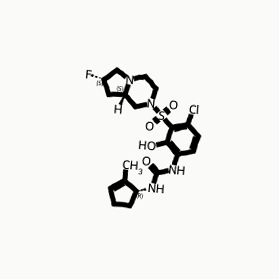 CC1=CCC[C@H]1NC(=O)Nc1ccc(Cl)c(S(=O)(=O)N2CCN3C[C@@H](F)C[C@H]3C2)c1O